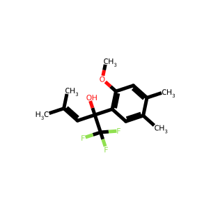 COc1cc(C)c(C)cc1C(O)(C=C(C)C)C(F)(F)F